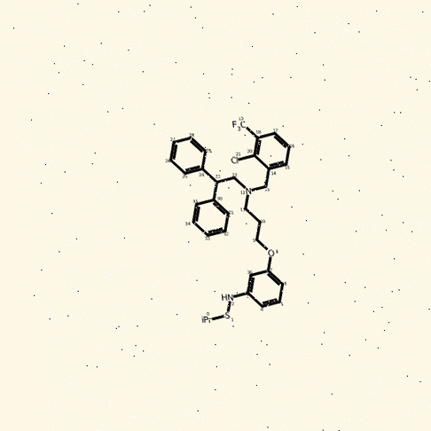 CC(C)SNc1cccc(OCCCN(Cc2cccc(C(F)(F)F)c2Cl)CC(c2ccccc2)c2ccccc2)c1